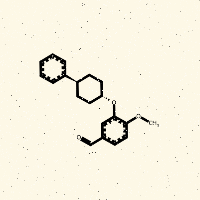 COc1ccc(C=O)cc1O[C@H]1CC[C@H](c2ccccc2)CC1